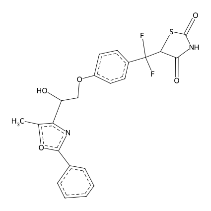 Cc1oc(-c2ccccc2)nc1C(O)COc1ccc(C(F)(F)C2SC(=O)NC2=O)cc1